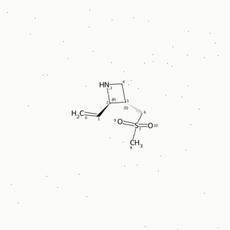 C=C[C@H]1NC[C@@H]1CS(C)(=O)=O